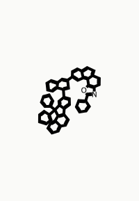 c1ccc(-c2nc3ccc4ccc5ccc(-c6cc(-c7ccc8c(c7)C(c7ccccc7)(c7ccccc7)c7c-8ccc8ccccc78)c7ccccc7c6)cc5c4c3o2)cc1